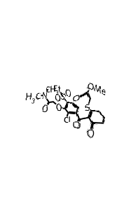 CCS(=O)(=O)c1ccc(C(=O)C2=C(SCC(=O)OC)CCCC2=O)c(Cl)c1OCC(=O)N(C)C